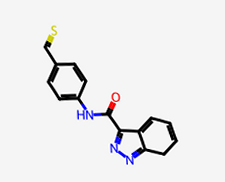 O=C(Nc1ccc(C=S)cc1)C1=NN=C2CC=CC=C21